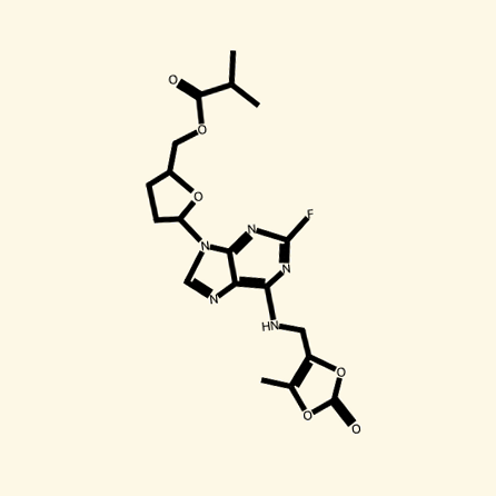 Cc1oc(=O)oc1CNc1nc(F)nc2c1ncn2C1CCC(COC(=O)C(C)C)O1